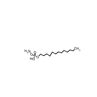 CCCCCCCCCCCCCOP(=O)(O)O[SiH3]